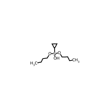 CCCCO[Si](O)(OCCCC)C1CC1